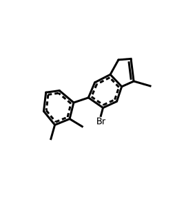 CC1=CCc2cc(-c3cccc(C)c3C)c(Br)cc21